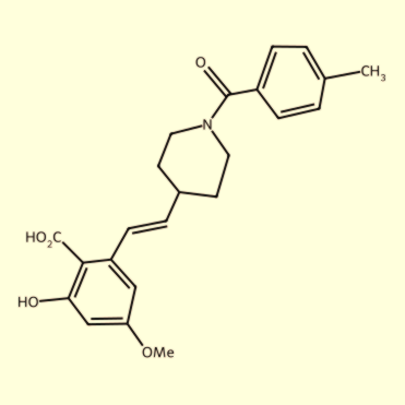 COc1cc(O)c(C(=O)O)c(C=CC2CCN(C(=O)c3ccc(C)cc3)CC2)c1